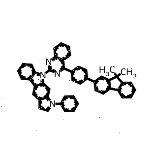 CC1(C)c2ccccc2-c2ccc(-c3ccc(-c4nc(-n5c6ccccc6c6cc7ccn(-c8ccccc8)c7cc65)nc5ccccc45)cc3)cc21